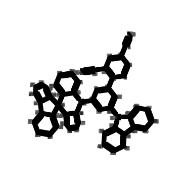 N#Cc1ccc(-c2cc(N3c4ccccc4C4(c5ccccc5-c5ccccc54)c4ccccc43)cc(-n3c4ccccc4c4ccccc43)c2)c(C#N)c1